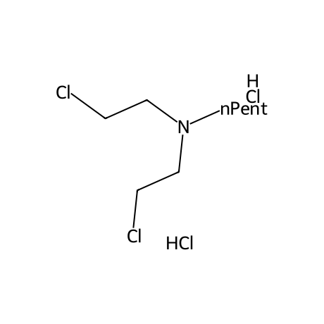 CCCCCN(CCCl)CCCl.Cl.Cl